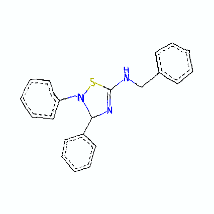 c1ccc(CNC2=NC(c3ccccc3)N(c3ccccc3)S2)cc1